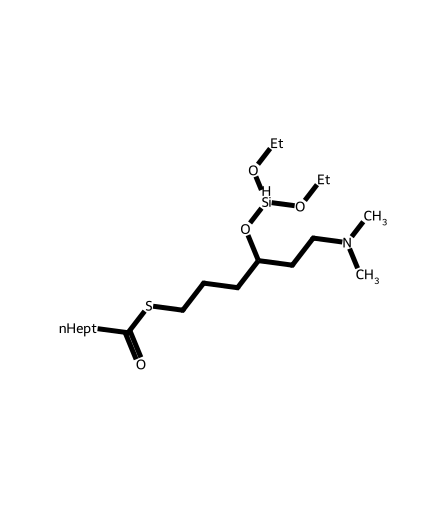 CCCCCCCC(=O)SCCCC(CCN(C)C)O[SiH](OCC)OCC